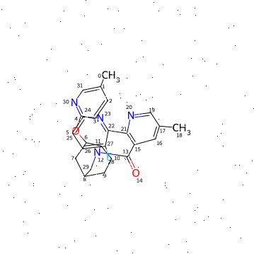 Cc1ccc(OC2CC3CCC2N(C(=O)c2cc(C)cnc2-c2ncccc2F)C3)nc1